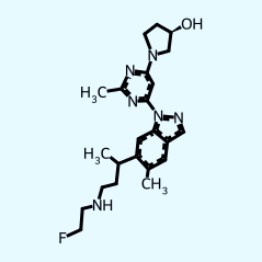 Cc1nc(N2CC[C@@H](O)C2)cc(-n2ncc3cc(C)c(C(C)CCNCCF)cc32)n1